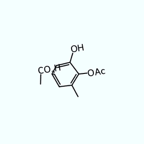 CC(=O)O.CC(=O)Oc1c(C)cccc1O